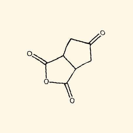 O=C1CC2C(=O)OC(=O)C2C1